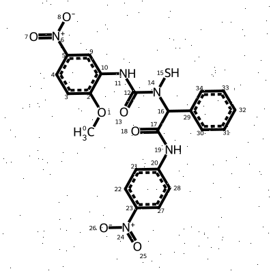 COc1ccc([N+](=O)[O-])cc1NC(=O)N(S)C(C(=O)Nc1ccc([N+](=O)[O-])cc1)c1ccccc1